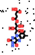 Cc1cc2nc3c(=O)[nH]c(=O)nc-3n(CC(O)C(O)C(O)COC(=O)CCC(=O)O)c2cc1C